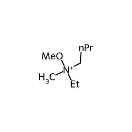 CCCC[N+](C)(CC)OC